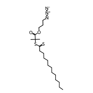 CCCCCCCCCCCCC(=S)SC(C)(C)C(=O)OCCCN=[N+]=[N-]